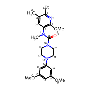 CCc1nc(OC)c(N(C)C(=O)N2CCN(c3cc(OC)cc(OC)c3)CC2)cc1C